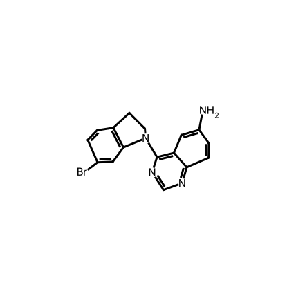 Nc1ccc2ncnc(N3CCc4ccc(Br)cc43)c2c1